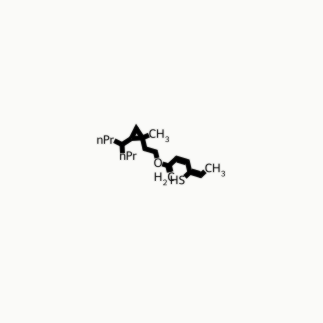 C=C(/C=C\C(S)=C/C)OCCC1(C)CC1C(CCC)CCC